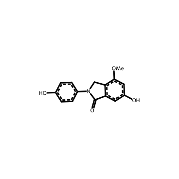 COc1cc(O)cc2c1CN(c1ccc(O)cc1)C2=O